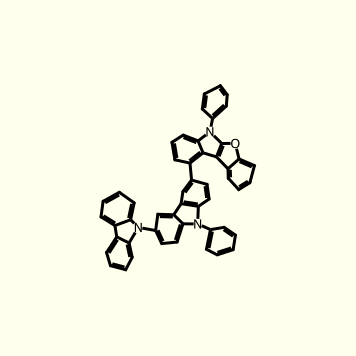 c1ccc(-n2c3ccc(-c4cccc5c4c4c6ccccc6oc4n5-c4ccccc4)cc3c3cc(-n4c5ccccc5c5ccccc54)ccc32)cc1